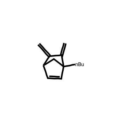 C=C1C(=C)C2(CCCC)C=CC1C2